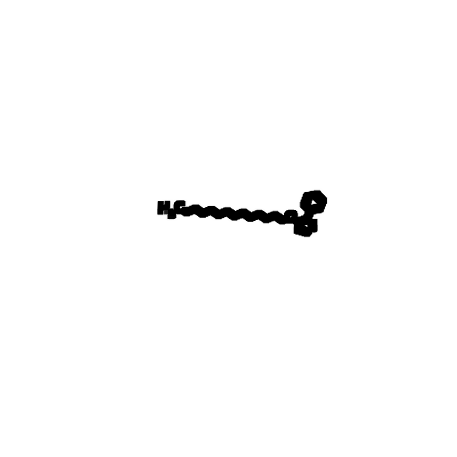 CCCCCCCCCCCCCCOc1ccsc1-c1ccccc1